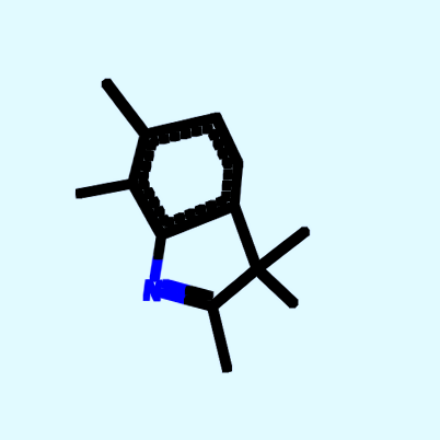 CC1=Nc2c(ccc(C)c2C)C1(C)C